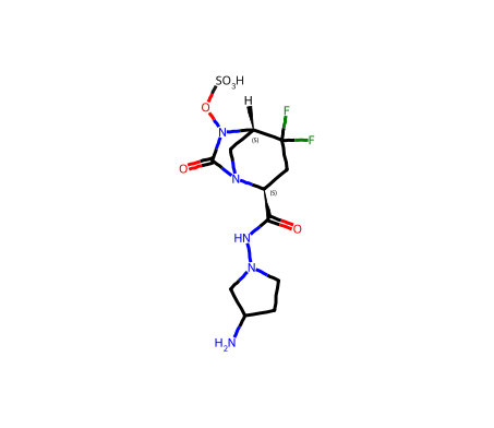 NC1CCN(NC(=O)[C@@H]2CC(F)(F)[C@@H]3CN2C(=O)N3OS(=O)(=O)O)C1